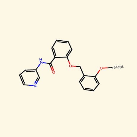 CCCCCCCOc1ccccc1COc1ccccc1C(=O)Nc1cccnc1